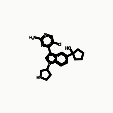 Nc1ncc(Cl)c(-c2cn(C3CCNC3)c3ccc(C4(O)CCCC4)cc23)n1